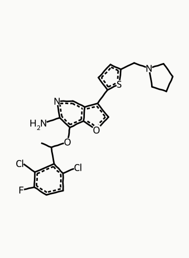 CC(Oc1c(N)ncc2c(-c3ccc(CN4CCCC4)s3)coc12)c1c(Cl)ccc(F)c1Cl